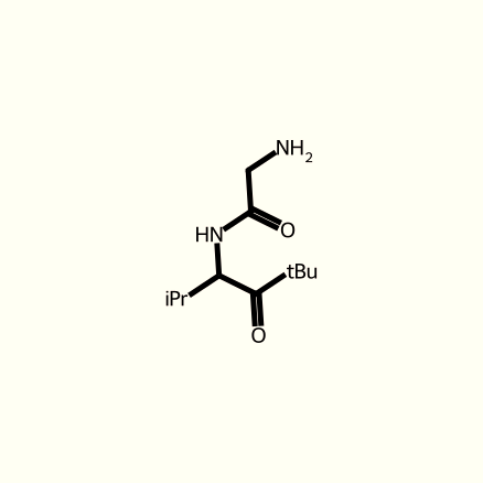 CC(C)C(NC(=O)CN)C(=O)C(C)(C)C